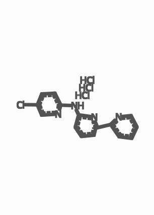 Cl.Cl.Cl.Clc1ccc(Nc2cccc(-c3ccccn3)n2)nc1